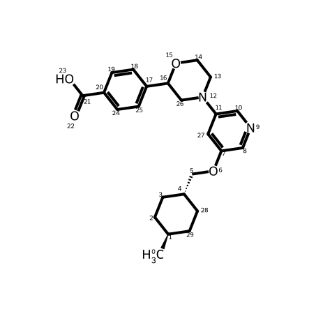 C[C@H]1CC[C@H](COc2cncc(N3CCOC(c4ccc(C(=O)O)cc4)C3)c2)CC1